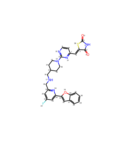 O=C1NC(=O)/C(=C/c2ccnc(N3CCC(CNCc4cc(F)cc(-c5cc6ccccc6o5)n4)CC3)n2)S1